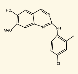 COc1cc2nc(Nc3ccc(Cl)cc3C)ncc2cc1O